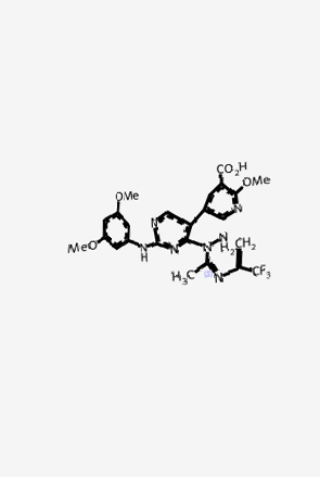 C=C(/N=C(/C)N(N)c1nc(Nc2cc(OC)cc(OC)c2)ncc1-c1cnc(OC)c(C(=O)O)c1)C(F)(F)F